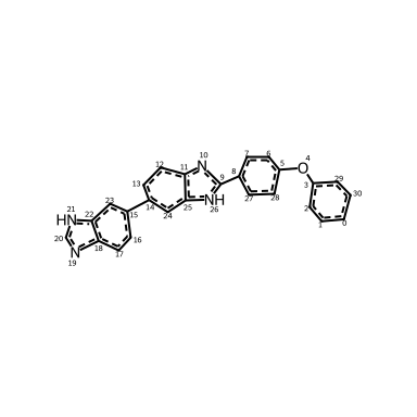 c1ccc(Oc2ccc(-c3nc4ccc(-c5ccc6nc[nH]c6c5)cc4[nH]3)cc2)cc1